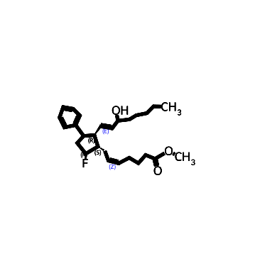 CCCCCC(O)/C=C/[C@@H]1C(c2ccccc2)C[C@@H](F)[C@H]1C/C=C\CCCC(=O)OC